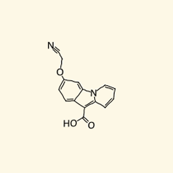 N#CCOc1ccc2c(C(=O)O)c3ccccn3c2c1